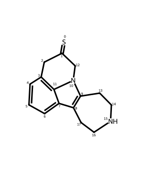 S=C1Cc2cccc3c4c(n(c23)C1)CCNCC4